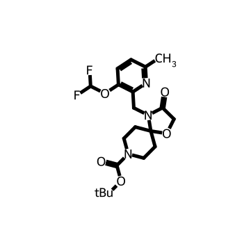 Cc1ccc(OC(F)F)c(CN2C(=O)COC23CCN(C(=O)OC(C)(C)C)CC3)n1